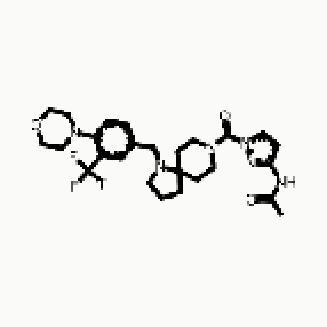 CC(=O)Nc1ccn(C(=O)N2CCC3(CCCN3Cc3ccc(N4CCOCC4)c(C(F)(F)F)c3)CC2)n1